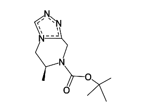 C[C@H]1Cn2cnnc2CN1C(=O)OC(C)(C)C